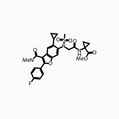 CNC(=O)c1c(-c2ccc(F)cc2)oc2cc(N(CC(=O)NC3(C(=O)OC)CC3)S(C)(=O)=O)c(C3CC3)cc12